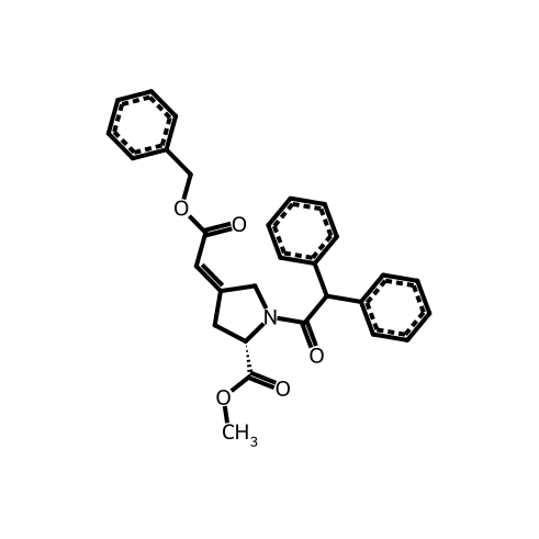 COC(=O)[C@@H]1C/C(=C/C(=O)OCc2ccccc2)CN1C(=O)C(c1ccccc1)c1ccccc1